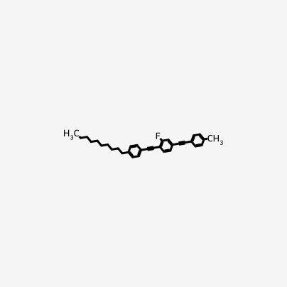 CCCCCCCCCCc1ccc(C#Cc2ccc(C#Cc3ccc(C)cc3)cc2F)cc1